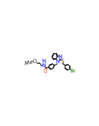 COCCCNC(=O)c1ccc(Cn2c(SCc3ccc(Br)cc3)nc3ccccc32)cc1